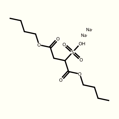 CCCCOC(=O)CC(C(=O)OCCCC)S(=O)(=O)O.[Na].[Na]